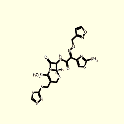 Nc1nc(C(=NOCc2ccon2)C(=O)NC2C(=O)N3C(C(=O)O)=C(CSc4nncs4)CS[C@@H]23)cs1